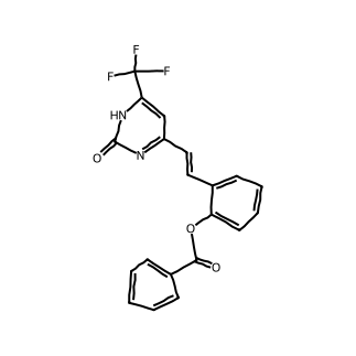 O=C(Oc1ccccc1/C=C/c1cc(C(F)(F)F)[nH]c(=O)n1)c1ccccc1